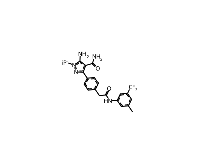 Cc1cc(NC(=O)Cc2ccc(-c3nn(C(C)C)c(N)c3C(N)=O)cc2)cc(C(F)(F)F)c1